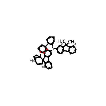 CC[C@@H]1C[C@@H]2CC[C@@H](C2)C12c1ccccc1-c1cc(N(c3ccc4c(c3)C(C)(C)c3ccccc3-4)c3ccccc3-c3ccccc3)ccc12